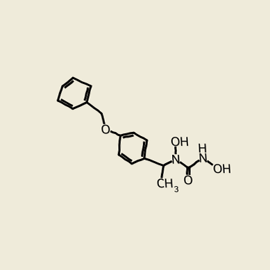 CC(c1ccc(OCc2ccccc2)cc1)N(O)C(=O)NO